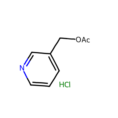 CC(=O)OCc1cccnc1.Cl